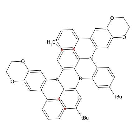 Cc1cc2c3c(c1)N(c1cc4c(cc1-c1ccccc1)OCCO4)c1ccc(C(C)(C)C)cc1B3c1cc(C(C)(C)C)ccc1N2c1cc2c(cc1-c1ccccc1)OCCO2